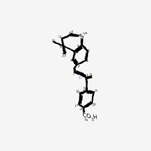 C/C(=C\c1ccc2c(c1)C(C)(C)CCS2)c1ccc(C(=O)O)cc1